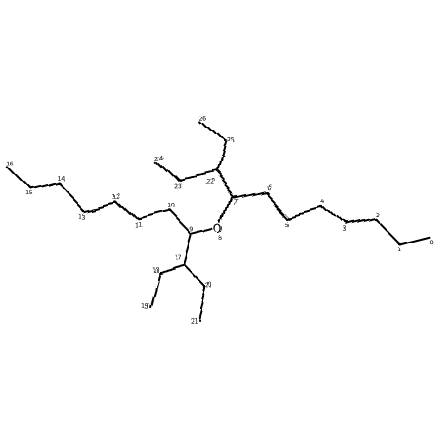 CCCCCCCC(OC(CCCCCCC)C(CC)CC)C(CC)CC